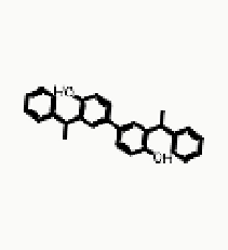 CC(c1ccccc1)c1cc(-c2ccc(O)c(C(C)c3ccccc3)c2)ccc1O